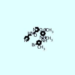 COc1cc2c(cc1Oc1ccnc(C(=O)NCCc3ccncc3)c1)nc(Nc1ccc(Br)c(C)c1)n2C